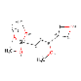 COC(CC[Si](OC)(OC)OC)C1COC1